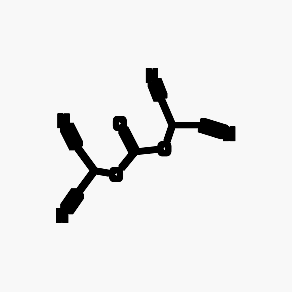 N#CC(C#N)OC(=O)OC(C#N)C#N